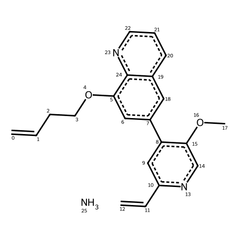 C=CCCOc1cc(-c2cc(C=C)ncc2OC)cc2cccnc12.N